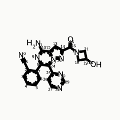 N#Cc1ccccc1-c1nc(N)c2cc(C(=O)N3CC(O)C3)nn2c1-c1ccncn1